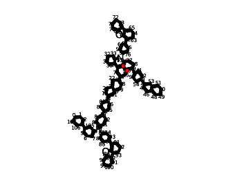 c1ccc(-c2cccc(N(c3ccc(-c4ccc(-c5ccc6cc(-c7cccc(-c8ccccc8N(c8ccc(-c9ccc(-c%10ccc%11ccccc%11c%10)cc9)cc8)c8ccc(-c9cccc%10c9oc9ccccc9%10)cc8)c7)ccc6c5)cc4)cc3)c3ccc(-c4cccc5c4oc4ccccc45)cc3)c2)cc1